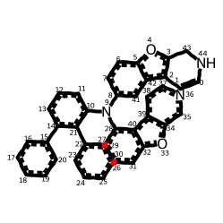 C1=Cc2c(oc3ccc(N(c4cccc(-c5ccccc5)c4-c4ccccc4)c4cccc5oc6cnccc6c45)cc23)CN1